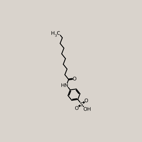 CCCCCCCCCC(=O)Nc1ccc(S(=O)(=O)O)cc1